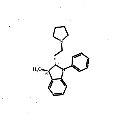 C[C@@H]1c2ccccc2N(c2ccccc2)[C@H]1CCN1CCCC1